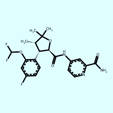 C[C@H]1[C@@H](c2ccc(F)cc2OC(F)F)[C@H](C(=O)Nc2ccnc(C(N)=O)c2)OC1(C)C